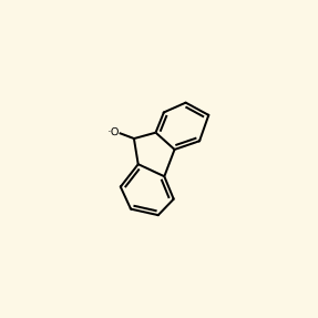 [O]C1c2ccccc2-c2ccccc21